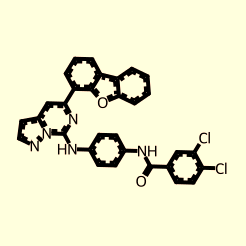 O=C(Nc1ccc(Nc2nc(-c3cccc4c3oc3ccccc34)cc3ccnn23)cc1)c1ccc(Cl)c(Cl)c1